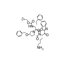 NCCCC[C@H](NC(=O)[C@@H]1C[C@@H](OCc2ccccc2)CN1C(=O)[C@@H](CCc1ccccc1)NC(=O)OCC1CC1)C(=O)c1nc2ccccc2o1